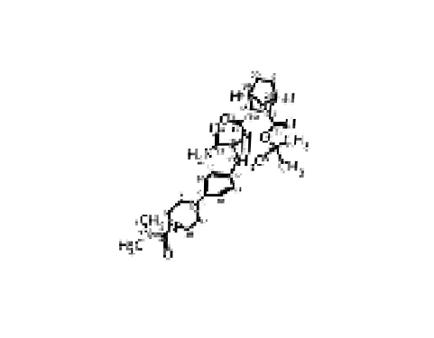 CN(C)C(=O)N1CCN(c2ccc(C[C@H](NC(=O)[C@@H]3[C@H]4CC[C@H](C4)N3C(=O)OC(C)(C)C)C(N)=O)cc2)CC1